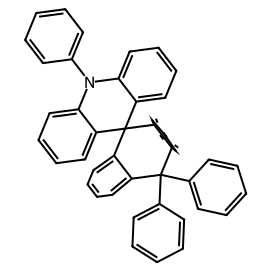 c1ccc(N2c3ccccc3C3(c4ccccc42)c2ccccc2C(c2ccccc2)(c2ccccc2)c2ccccc23)cc1